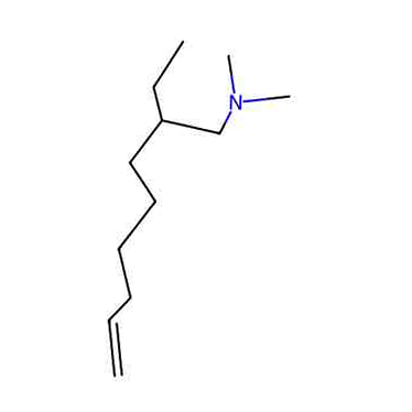 C=CCCCCC(CC)CN(C)C